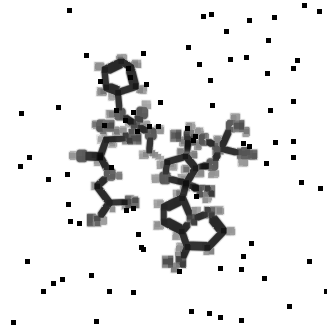 CCC(CC)COC(=O)[C@H](C)N[P@](=O)(OC[C@H]1O[C@@](C#N)(c2ccc3c(N)ccnn23)[C@H](O[Si](C)(C)C(C)(C)C)[C@@H]1C)Oc1ccccc1